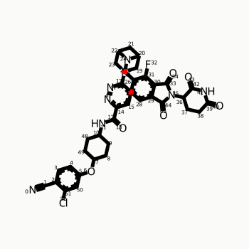 N#Cc1ccc(OC2CCC(NC(=O)c3ccc(N4CC5CC(C4)N5Cc4ccc5c(c4F)C(=O)N(C4CCC(=O)NC4=O)C5=O)nn3)CC2)cc1Cl